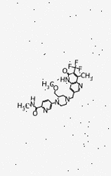 CNC(=O)c1ccc(N2CCN(Cc3cnc4c(C)c(C(F)(F)F)c(=O)[nH]c4c3)CC2COC)cn1